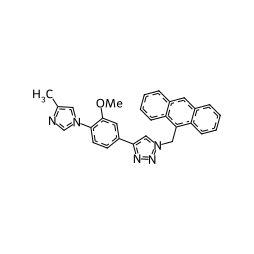 COc1cc(-c2cn(Cc3c4ccccc4cc4ccccc34)nn2)ccc1-n1cnc(C)c1